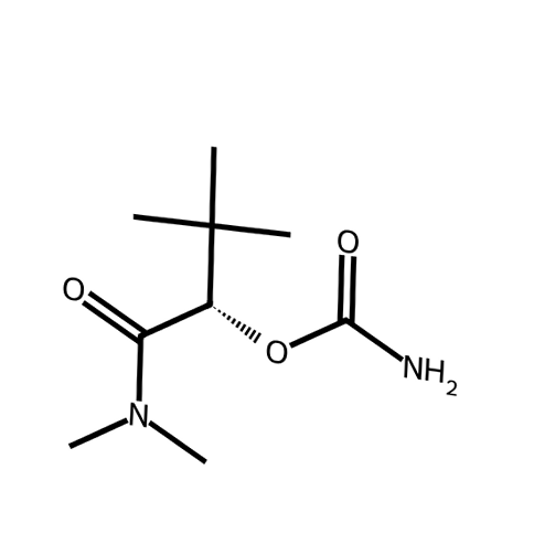 CN(C)C(=O)[C@@H](OC(N)=O)C(C)(C)C